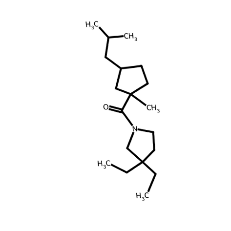 CCC1(CC)CCN(C(=O)C2(C)CCC(CC(C)C)C2)C1